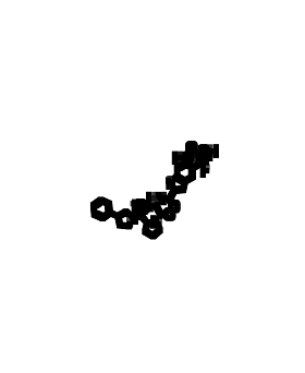 CC(C)(C)C(NC(=O)c1cc2cc(C(F)(F)P(=O)(O)O)ccc2s1)C(=O)N1CCC[C@H]1C(=O)N1CC[C@@H](c2ccccc2)C1